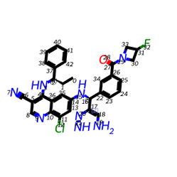 CC[C@@H](Nc1c(C#N)cnc2c(Cl)cc(N[C@H](/C(=C/N)N=N)c3cccc(C(=O)N4CC(F)C4)c3)cc12)c1ccccc1